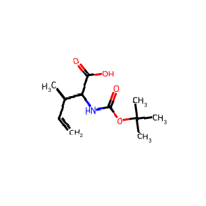 C=CC(C)C(NC(=O)OC(C)(C)C)C(=O)O